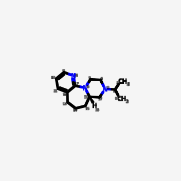 CC(C)N1CCN2c3ncccc3CCC[C@H]2C1